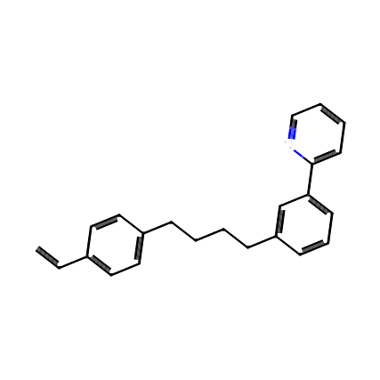 C=Cc1ccc(CCCCc2cccc(-c3ccccn3)c2)cc1